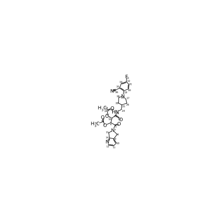 CC(=O)OC(C(=O)N1Cc2cccnc2C1)[C@@H](OC(C)=O)C(=O)NCC1CCN(c2ccc(F)cc2C#N)CC1